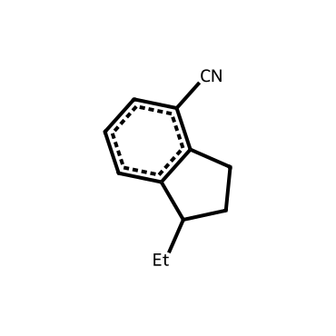 CCC1CCc2c(C#N)cccc21